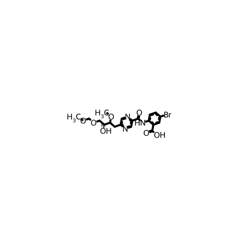 COCOC[C@@H](O)C(Cc1cnc(C(=O)Nc2ccc(Br)cc2C(=O)O)cn1)OC